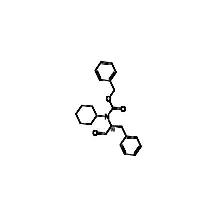 O=C[C@H](Cc1ccccc1)N(C(=O)OCc1ccccc1)C1CCCCC1